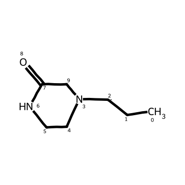 CC[CH]N1CCNC(=O)C1